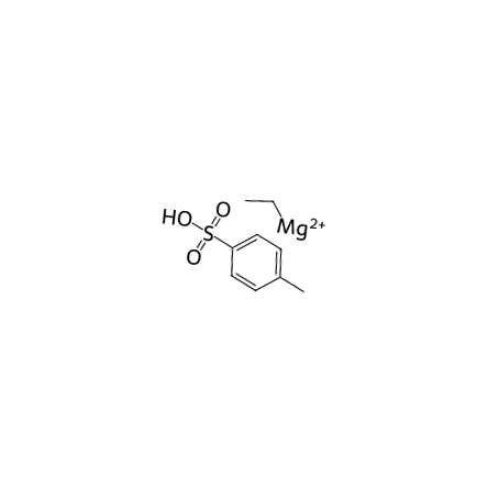 C[CH2][Mg+2].Cc1ccc(S(=O)(=O)O)cc1